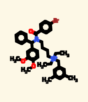 CC[N+](CC)(CCCCN(C(=O)c1ccc(Br)cc1)C(c1ccccc1)c1ccc(OC)c(OC)c1)Cc1cc(C)cc(C)c1